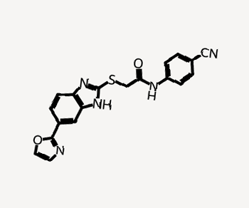 N#Cc1ccc(NC(=O)CSc2nc3ccc(-c4ncco4)cc3[nH]2)cc1